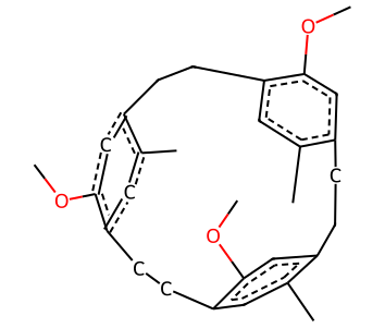 COc1cc2c(C)cc1CCc1cc(OC)c(cc1C)CCc1cc(C)c(cc1OC)CC2